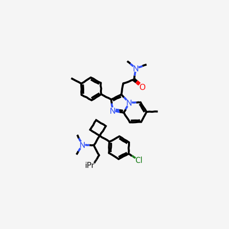 CC(C)CC(N(C)C)C1(c2ccc(Cl)cc2)CCC1.Cc1ccc(-c2nc3ccc(C)cn3c2CC(=O)N(C)C)cc1